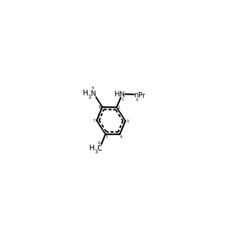 CCCNc1ccc(C)cc1N